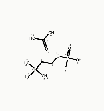 C[N+](C)(C)CCOP(=O)([O-])O.O=C(O)O